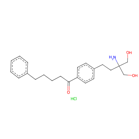 Cl.NC(CO)(CO)CCc1ccc(C(=O)CCCCc2ccccc2)cc1